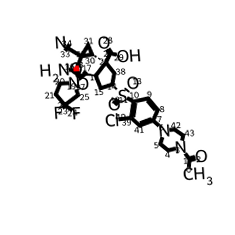 CC(=O)N1CCN(c2ccc(S(=O)(=O)[C@@H]3C[C@@H](C(=O)N4CCC(F)(F)C4)[C@](C(=O)O)(C4CC4(C#N)C(N)=O)C3)c(Cl)c2)CC1